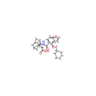 O=C(N[C@H](C(=O)O)C12CC3CC(CC(C3)C1)C2)c1ccc2occc2c1OCC1CCCCC1